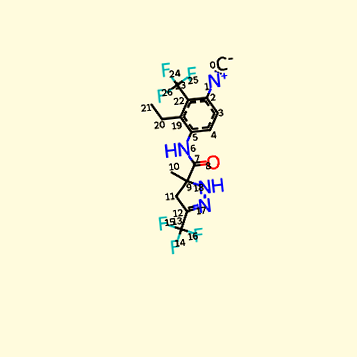 [C-]#[N+]c1ccc(NC(=O)C2(C)CC(C(F)(F)F)=NN2)c(CC)c1C(F)(F)F